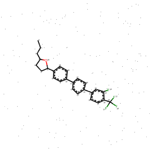 CCCC1CCC(c2ccc(-c3ccc(-c4ccc(C(F)(F)F)c(F)c4)cc3)cc2)O1